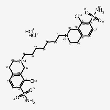 Cl.Cl.NS(=O)(=O)c1ccc2c(c1Cl)CN(CCCCCCCN1CCc3ccc(S(N)(=O)=O)c(Cl)c3C1)CC2